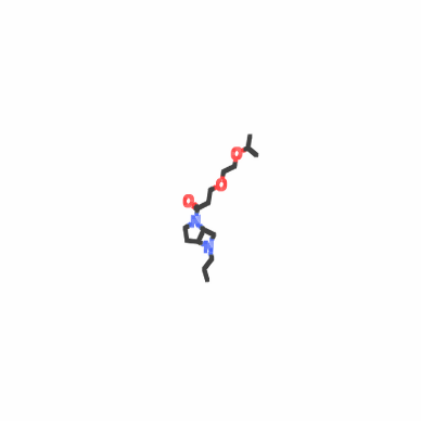 CCCN1CC2C1CCN2C(=O)CCOCCOC(C)C